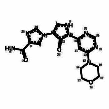 NC(=O)c1cn(-c2c[nH]n(-c3cc(N4CCOCC4)ncn3)c2=O)cn1